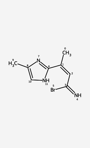 C/C(=C/C(=N)Br)c1nc(C)c[nH]1